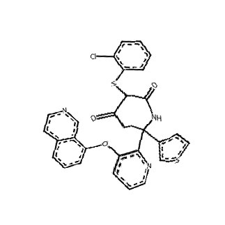 O=C1CC(c2ccsc2)(c2ncccc2Oc2cccc3ccncc23)NC(=O)C1Sc1ccccc1Cl